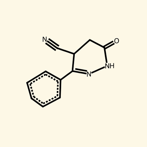 N#CC1CC(=O)NN=C1c1ccccc1